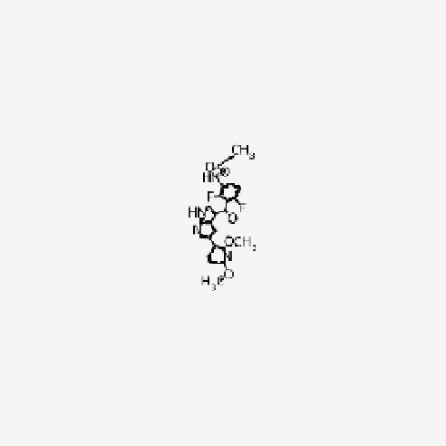 CCCS(=O)(=O)Nc1ccc(F)c(C(=O)c2c[nH]c3ncc(-c4ccc(OC)nc4OC)cc23)c1F